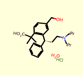 CC(C)N(CC[C@H](c1ccccc1)c1cc(CO)ccc1C(C)(C)C(=O)O)C(C)C.Cl.O